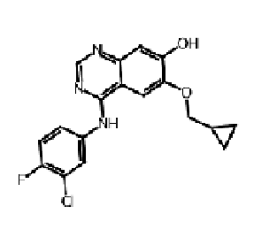 Oc1cc2ncnc(Nc3ccc(F)c(Cl)c3)c2cc1OCC1CC1